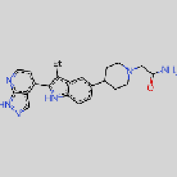 CCc1c(-c2ccnc3[nH]ncc23)[nH]c2ccc(C3CCN(CC(N)=O)CC3)cc12